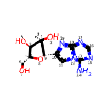 C[C@@]1(O)[C@H](O)[C@@H](CO)O[C@H]1c1cn2c(N)ncnc2n1